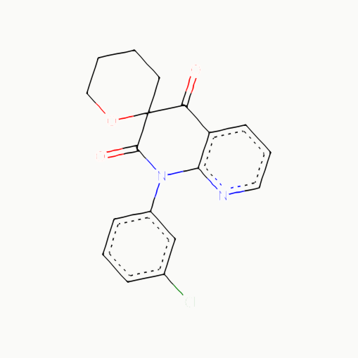 O=C1c2cccnc2N(c2cccc(Cl)c2)C(=O)C12CCCCO2